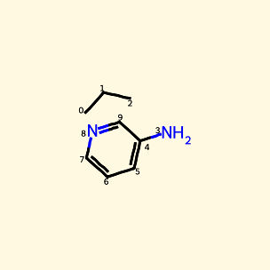 CCC.Nc1cccnc1